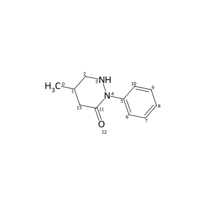 CC1CNN(c2ccccc2)C(=O)C1